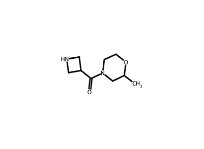 CC1CN(C(=O)C2CNC2)CCO1